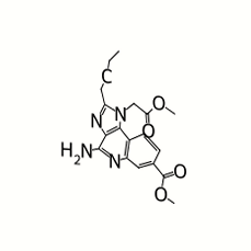 CCCCc1nc2c(N)nc3cc(C(=O)OC)ccc3c2n1CC(=O)OC